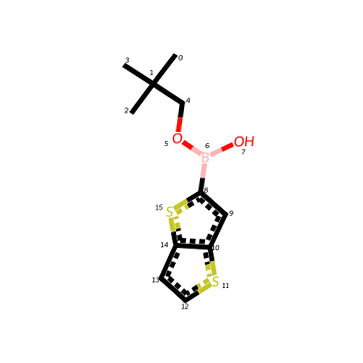 CC(C)(C)COB(O)c1cc2sccc2s1